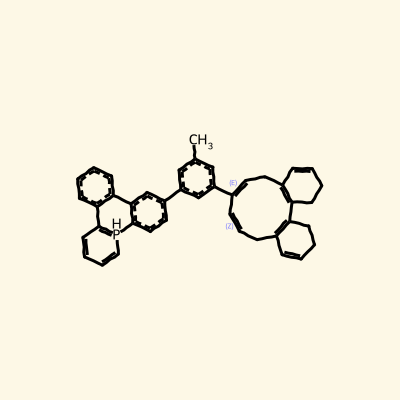 Cc1cc(C2=C/CC3=C(CCC=C3)C3=C(C=CCC3)C/C=C\2)cc(-c2ccc3c(c2)-c2ccccc2C2=[PH]3C=CC=C2)c1